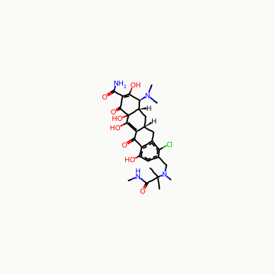 CNC(=O)C(C)(C)N(C)Cc1cc(O)c2c(c1Cl)C[C@H]1C[C@H]3[C@H](N(C)C)C(O)=C(C(N)=O)C(=O)C3(O)C(O)=C1C2=O